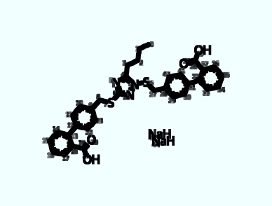 CCCCc1nc(SCc2ccc(-c3ccccc3C(=O)O)cc2)nn1SCc1ccc(-c2ccccc2C(=O)O)cc1.[NaH].[NaH]